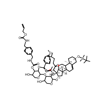 C=CCOC(=O)NCc1ccc(CNC(=O)OC2C(O)COC(OC3C(O)COC(O[C@H]4C[C@H]5[C@@H]6CC=C7C[C@@H](O[Si](C)(C)C(C)(C)C)CC[C@]7(C)C6CC[C@]5(C)[C@@]4(O)[C@H](C)C(=O)CCC(C)C)C3OC(C)=O)C2OC(=O)c2ccc(OC)cc2)cc1